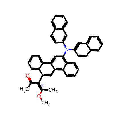 CO/C(C)=C(\C(C)=O)c1cc2c3ccccc3c(N(c3ccc4ccccc4c3)c3ccc4ccccc4c3)cc2c2ccccc12